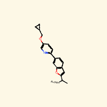 CC(=O)NC(C)c1cc2ccc(-c3ccc(OCC4CC4)cn3)cc2o1